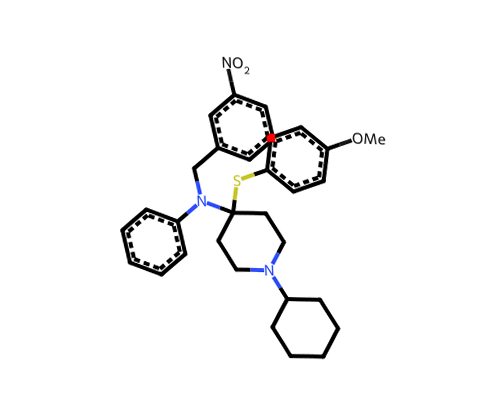 COc1ccc(SC2(N(Cc3cccc([N+](=O)[O-])c3)c3ccccc3)CCN(C3CCCCC3)CC2)cc1